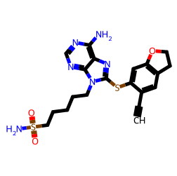 C#Cc1cc2c(cc1Sc1nc3c(N)ncnc3n1CCCCCS(N)(=O)=O)OCC2